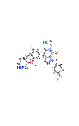 COc1ccc(Cn2ncc3c(-c4cc(F)c(C=C5CCNCC5)c(OC)c4)cn(C)c(=O)c32)cc1.Cl